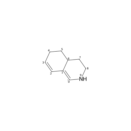 [C]1=C2C=CCCC2CCN1